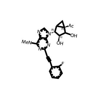 CNc1nc(C#Cc2ccccc2F)nc2c1ncn2[C@@H]1C2C[C@]2(C(C)=O)C(O)[C@H]1O